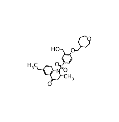 CCc1ccc2c(c1)C(=O)CC(C)N2S(=O)(=O)c1ccc(OCC2CCCOCC2)c(CO)c1